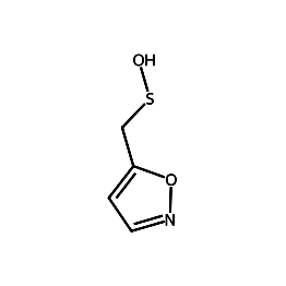 OSCc1ccno1